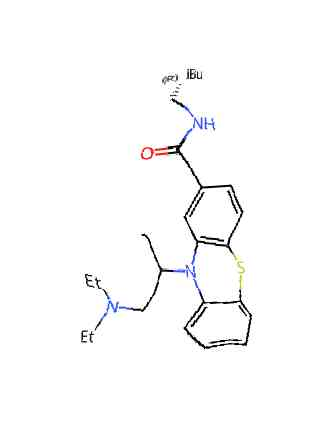 CC[C@@H](C)CNC(=O)c1ccc2c(c1)N(C(C)CN(CC)CC)c1ccccc1S2